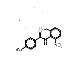 Cc1cccc([N+](=O)[O-])c1NC(=O)c1ccc(C(C)(C)C)cc1